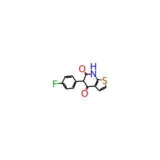 O=C1Nc2sccc2C(=O)C1c1ccc(F)cc1